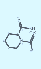 CC(=O)N1CCC[CH][C@H]1C(N)=O